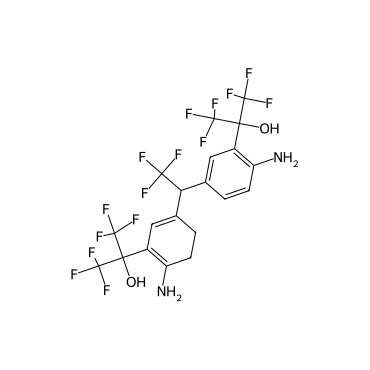 NC1=C(C(O)(C(F)(F)F)C(F)(F)F)C=C(C(c2ccc(N)c(C(O)(C(F)(F)F)C(F)(F)F)c2)C(F)(F)F)CC1